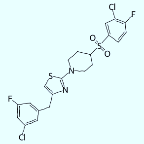 O=S(=O)(c1ccc(F)c(Cl)c1)C1CCN(c2nc(Cc3cc(F)cc(Cl)c3)cs2)CC1